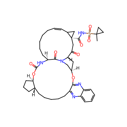 CC1(S(=O)(=O)NC(=O)[C@]23CC(=O)[C@@H]4C[C@@H]5CN4C(=O)[C@H](CCCCC/C=C\C2C3)NC(=O)O[C@@H]2CCC[C@H]2CCCCCc2nc3ccccc3nc2O5)CC1